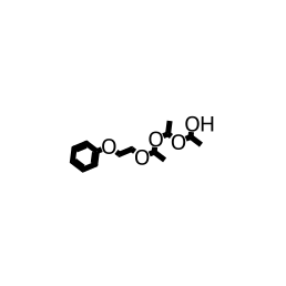 CC(O)OC(C)OC(C)OCCOc1ccccc1